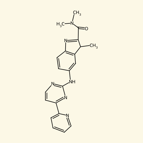 CC1C(C(=O)N(C)C)=Nc2ccc(Nc3nccc(-c4ccccn4)n3)cc21